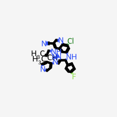 CC(C)(C)CNc1c(C#N)cnc2c(Cl)cc(NC(c3ccc(F)cc3)c3cn(-c4ccncc4)nn3)cc12